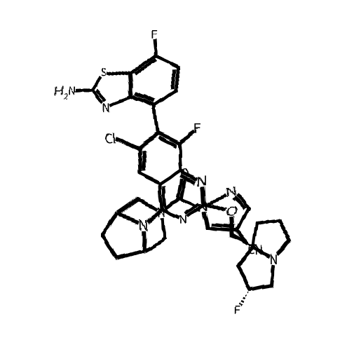 N#Cc1cnn(C(=O)N2CC3CCC(C2)N3c2nc(OC[C@@]34CCCN3C[C@H](F)C4)nc3c(F)c(-c4ccc(F)c5sc(N)nc45)c(Cl)cc23)c1